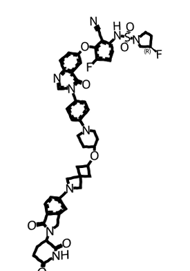 N#Cc1c(NS(=O)(=O)N2CC[C@@H](F)C2)ccc(F)c1Oc1ccc2ncn(-c3ccc(N4CCC(OC5CC6(C5)CN(c5ccc7c(c5)CN(C5CCC(=O)NC5=O)C7=O)C6)CC4)cc3)c(=O)c2c1